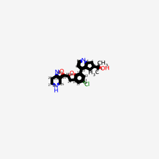 CC(C)(O)C1Cc2nccc(-c3cc(Cl)cc4c3OC(c3onc5c3CNCC5)C4)c2C1